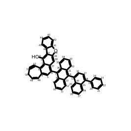 Oc1c2c3c(cc(-c4c5ccccc5c(-c5ccc(-c6ccccc6)c6ccccc56)c5ccccc45)c2cc2oc4ccccc4c12)C=CCC#C3